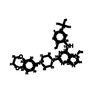 Cc1ccc(C(C)(C)C)cc1Nc1nc(N2CCN(c3ccc4c(c3)OCCO4)CC2)nc2ncn(C)c12